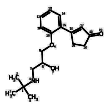 CC(C)(C)NCC(O)COc1ccccc1C1=CC(=O)CC1